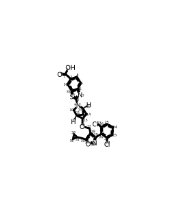 O=C(O)c1ccc2nc(N3C[C@@H]4C[C@H]3CC4OCc3c(-c4c(Cl)cccc4Cl)noc3C3CC3)sc2c1